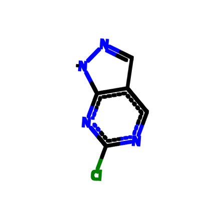 Clc1ncc2c(n1)[N]N=C2